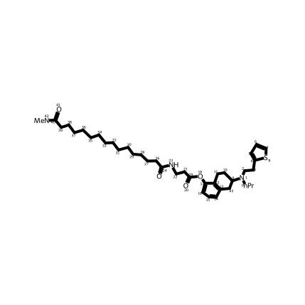 CCCN(CCc1cccs1)C1CCc2c(cccc2OC(=O)CCNC(=O)CCCCCCCCCCCCCCC(=O)NC)C1